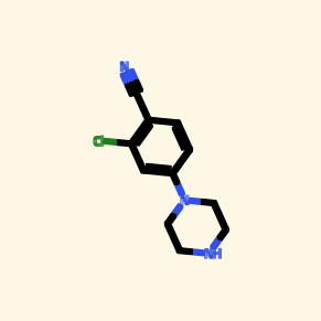 N#Cc1ccc(N2CCNCC2)cc1Cl